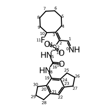 N=C/C(=C1\CCCCCCC1F)S(=O)(=O)NC(=O)Nc1c2c(cc3c1CCC3)CCC2